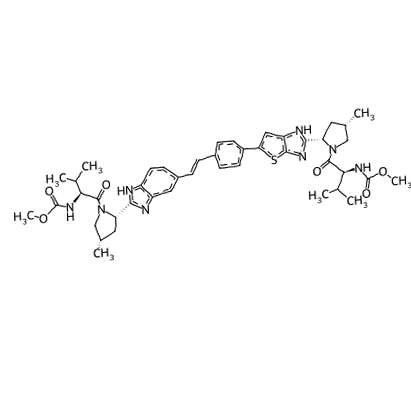 COC(=O)N[C@H](C(=O)N1C[C@@H](C)C[C@H]1c1nc2cc(/C=C/c3ccc(-c4cc5[nH]c([C@@H]6C[C@H](C)CN6C(=O)[C@@H](NC(=O)OC)C(C)C)nc5s4)cc3)ccc2[nH]1)C(C)C